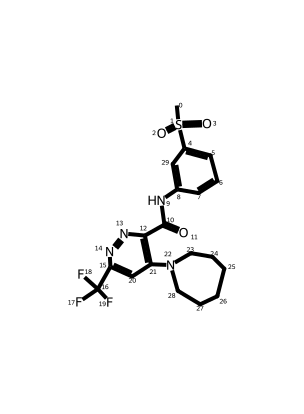 CS(=O)(=O)c1cccc(NC(=O)c2nnc(C(F)(F)F)cc2N2CCCCCC2)c1